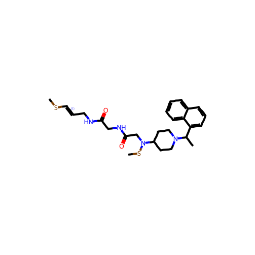 CS/C=C/CNC(=O)CNC(=O)CN(SC)C1CCN(C(C)c2cccc3ccccc23)CC1